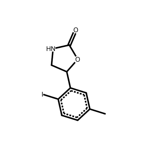 Cc1ccc(I)c(C2CNC(=O)O2)c1